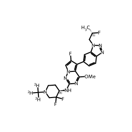 [2H]C([2H])([2H])N1CC[C@@H](Nc2nc(OC)c3c(-c4ccc5nnn(C[C@H](C)F)c5c4)c(F)cn3n2)C(F)(F)C1